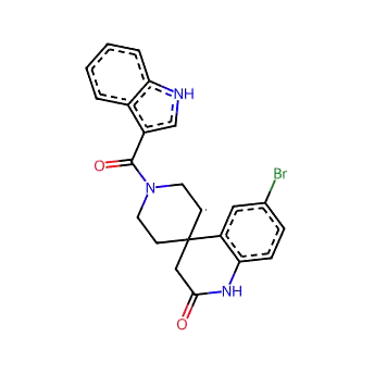 O=C1CC2([CH]CN(C(=O)c3c[nH]c4ccccc34)CC2)c2cc(Br)ccc2N1